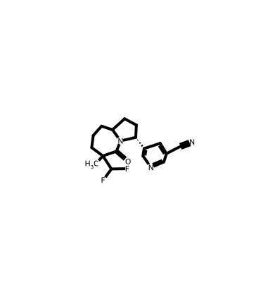 CC1(C(F)F)CCCC2CC[C@H](c3cncc(C#N)c3)N2C1=O